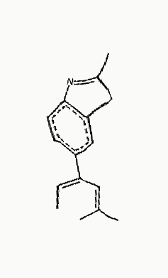 C/C=C(\C=C(C)C)c1ccc2c(c1)CC(C)=N2